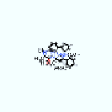 CCN(CC)C(C)C(=O)NC1(C(=O)O)C=C(c2c(OC)cccc2OC)NN1c1ccccc1C1CCCC1